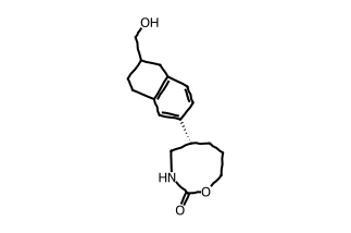 O=C1NC[C@H](c2ccc3c(c2)CCC(CO)C3)CCCO1